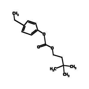 CCc1ccc(OC(=O)OCCC(C)(C)C)cc1